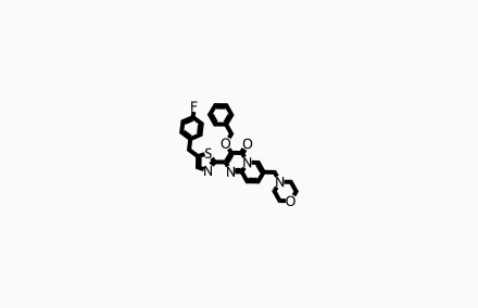 O=c1c(OCc2ccccc2)c(-c2ncc(Cc3ccc(F)cc3)s2)nc2ccc(CN3CCOCC3)cn12